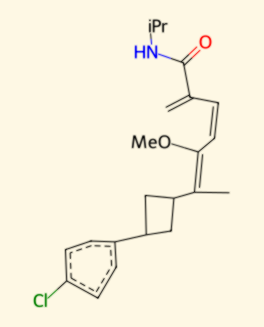 C=C(/C=C\C(OC)=C(/C)C1CC(c2ccc(Cl)cc2)C1)C(=O)NC(C)C